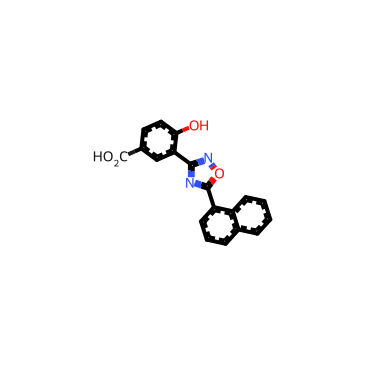 O=C(O)c1ccc(O)c(-c2noc(-c3cccc4ccccc34)n2)c1